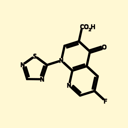 O=C(O)c1cn(-c2ncns2)c2ncc(F)cc2c1=O